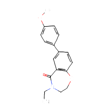 N#CCN1CCOc2ccc(-c3ccc(OC(F)(F)F)cc3)cc2C1=O